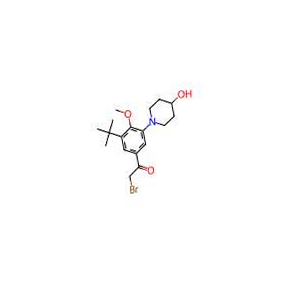 COc1c(N2CCC(O)CC2)cc(C(=O)CBr)cc1C(C)(C)C